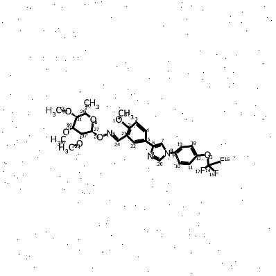 COc1ccc(-c2cn(-c3ccc(OC(F)(F)F)cc3)cn2)cc1/C=N/O[C@@H]1O[C@@H](C)[C@H](OC)[C@@H](OC)[C@H]1OC